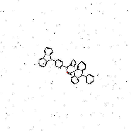 c1ccc(N2c3ccccc3C3(c4ccccc42)c2ccccc2N(c2ccc(-n4c5ccccc5c5cnccc54)cn2)c2ccccc23)cc1